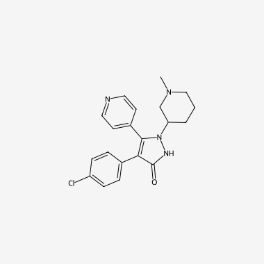 CN1CCCC(n2[nH]c(=O)c(-c3ccc(Cl)cc3)c2-c2ccncc2)C1